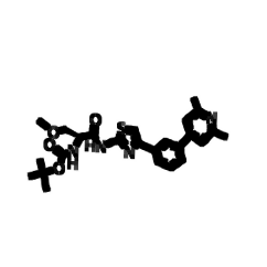 COC[C@H](NC(=O)OC(C)(C)C)C(=O)Nc1nc(-c2cccc(-c3cc(C)nc(C)c3)c2)cs1